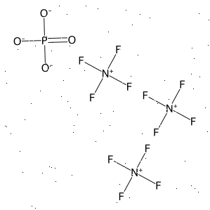 F[N+](F)(F)F.F[N+](F)(F)F.F[N+](F)(F)F.O=P([O-])([O-])[O-]